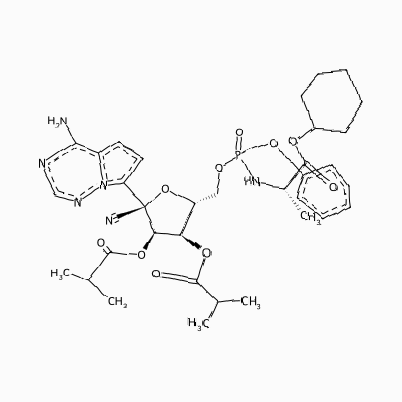 CC(C)C(=O)O[C@H]1[C@@H](OC(=O)C(C)C)[C@](C#N)(c2ccc3c(N)ncnn23)O[C@@H]1COP(=O)(N[C@@H](C)C(=O)OC1CCCCC1)Oc1ccccc1